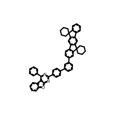 c1ccc(-c2nc(-c3ccc(-c4cccc(-c5ccc6c(c5)C5(CCCCC5)c5cc7c(cc5-6)C5(CCCCC5)c5ccccc5-7)c4)cc3)nc3oc4ccccc4c23)cc1